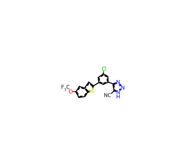 N#Cc1[nH]nnc1-c1cc(Cl)cc(-c2cc3cc(OC(F)(F)F)ccc3s2)c1